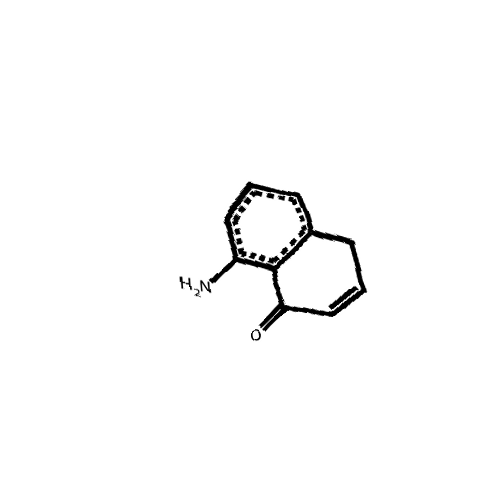 Nc1cccc2c1C(=O)C=CC2